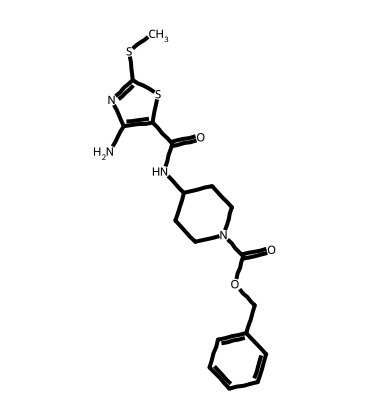 CSc1nc(N)c(C(=O)NC2CCN(C(=O)OCc3ccccc3)CC2)s1